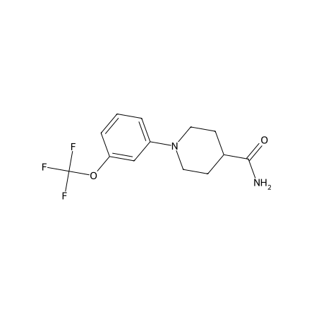 NC(=O)C1CCN(c2cccc(OC(F)(F)F)c2)CC1